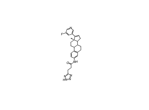 C[C@]12CCC3c4ccc(NC(=O)CCc5nn[nH]n5)cc4CCC3C1CC=C2c1cncc(F)c1